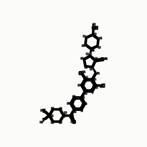 O=C(c1ccc(-c2cc(Cl)c(C[C@@H]3CCN([C@H]4CC[C@H](O)CC4)C3=O)c(Cl)c2)cc1)N1CCC(F)(F)CC1